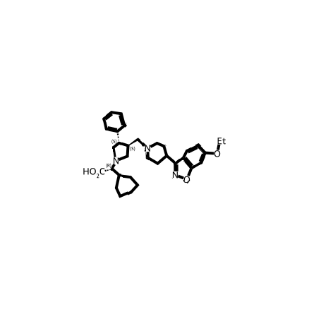 CCOc1ccc2c(C3CCN(C[C@H]4CN([C@@H](C(=O)O)C5CCCCC5)C[C@@H]4c4ccccc4)CC3)noc2c1